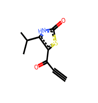 C#CC(=O)c1sc(=O)[nH]c1C(C)C